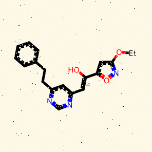 CCOc1cc(/C(O)=C/c2cc(CCc3ccccc3)ncn2)on1